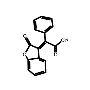 O=C(O)C(=C1C(=O)Oc2ccccc21)c1ccccc1